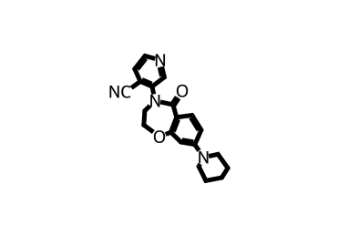 N#Cc1ccncc1N1CCOc2cc(N3CCCCC3)ccc2C1=O